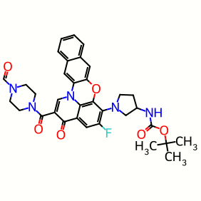 CC(C)(C)OC(=O)NC1CCN(c2c(F)cc3c(=O)c(C(=O)N4CCN(C=O)CC4)cn4c3c2Oc2cc3ccccc3cc2-4)C1